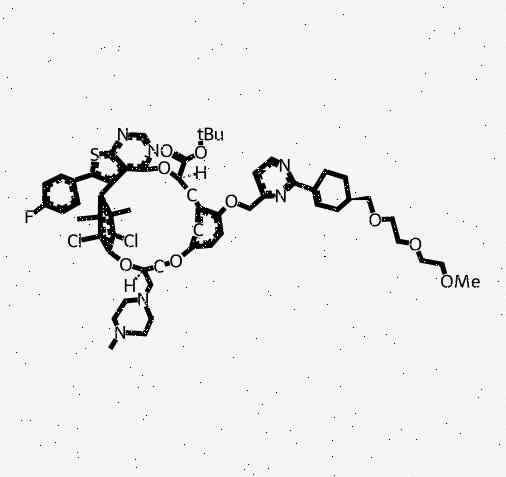 COCCOCCOC[C@H]1CC=C(c2nccc(COc3ccc4cc3C[C@H](C(=O)OC(C)(C)C)Oc3ncnc5sc(-c6ccc(F)cc6)c(c35)-c3c(C)c(Cl)c(c(Cl)c3C)O[C@H](CN3CCN(C)CC3)CO4)n2)CC1